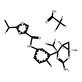 CC(F)c1nc(C(=O)Nc2ccc(F)c([C@@]3(C(F)F)N=C(N)O[C@@H]4C[C@@H]43)c2)co1.O=C(O)C(F)(F)F